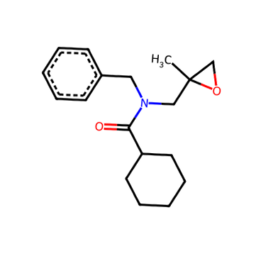 CC1(CN(Cc2ccccc2)C(=O)C2CCCCC2)CO1